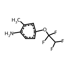 Cc1cc(OC(F)(F)C(F)F)ccc1N